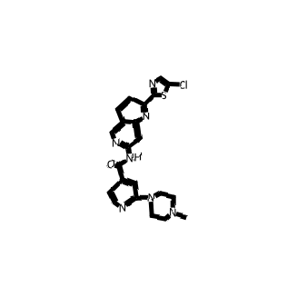 CN1CCN(c2cc(C(=O)Nc3cc4nc(-c5ncc(Cl)s5)ccc4cn3)ccn2)CC1